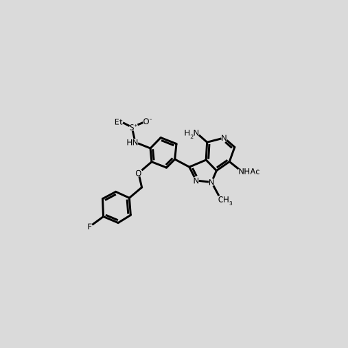 CC[S+]([O-])Nc1ccc(-c2nn(C)c3c(NC(C)=O)cnc(N)c23)cc1OCc1ccc(F)cc1